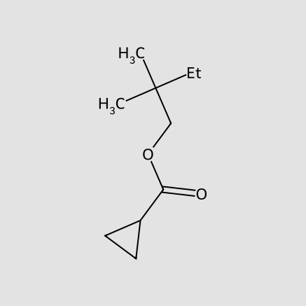 CCC(C)(C)COC(=O)C1CC1